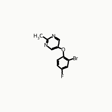 Cc1ncc(Oc2ccc(F)cc2Br)cn1